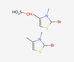 CC1=CSC(Br)N1C.CC1=CSC(Br)N1C.O=S(=O)(O)O